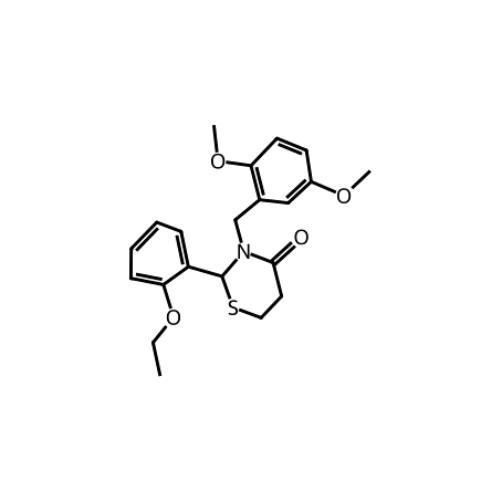 CCOc1ccccc1C1SCCC(=O)N1Cc1cc(OC)ccc1OC